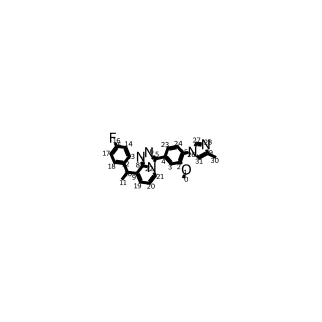 COc1cc(-c2nnc3c(C(C)c4ccc(F)cc4)cccn23)ccc1-n1cnc(C)c1